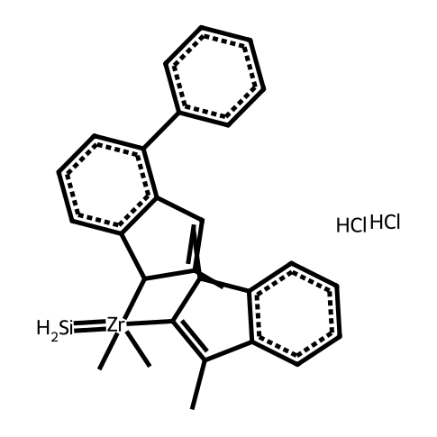 CC1=Cc2c(-c3ccccc3)cccc2[CH]1[Zr]([CH3])([CH3])(=[SiH2])[C]1=C(C)c2ccccc2C1C.Cl.Cl